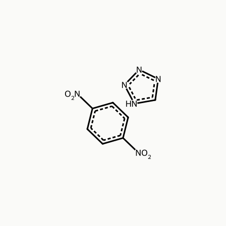 O=[N+]([O-])c1ccc([N+](=O)[O-])cc1.c1nnn[nH]1